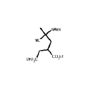 CCCCCCC(C)(C#N)CC(CC(=O)OCC)C(=O)OCC